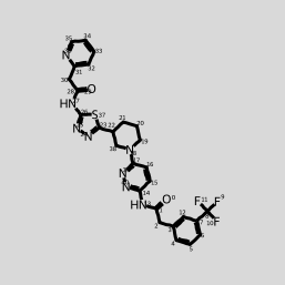 O=C(Cc1cccc(C(F)(F)F)c1)Nc1ccc(N2CCCC(c3nnc(NC(=O)Cc4ccccn4)s3)C2)nn1